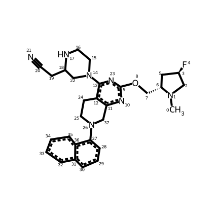 CN1C[C@H](F)C[C@H]1COc1nc2c(c(N3CCNC(CC#N)C3)n1)CCN(c1cccc3ccccc13)C2